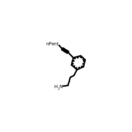 CCCCCC#Cc1cccc(CCCN)c1